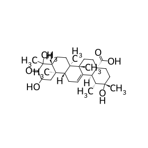 C[C@@H]1[C@H]2C3=CC[C@@H]4[C@@]5(C)CC(O)C(=O)C(C)(C)[C@@H]5CC[C@@]4(C)[C@]3(C)CC[C@@]2(C(=O)O)CC[C@]1(C)O